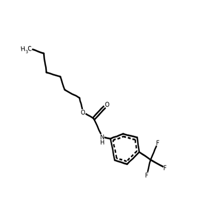 CCCCCCOC(=O)Nc1ccc(C(F)(F)F)cc1